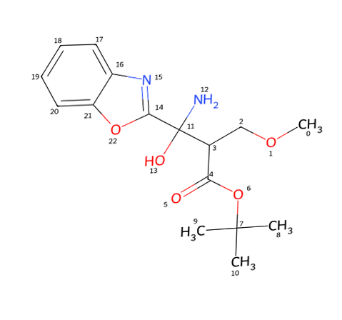 COCC(C(=O)OC(C)(C)C)C(N)(O)c1nc2ccccc2o1